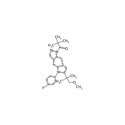 COCC(C)(C)c1cc2cc3c(cnn3C(=O)C(C)(C)C)cc2n1-c1ccc(F)cc1